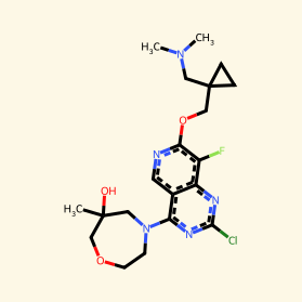 CN(C)CC1(COc2ncc3c(N4CCOCC(C)(O)C4)nc(Cl)nc3c2F)CC1